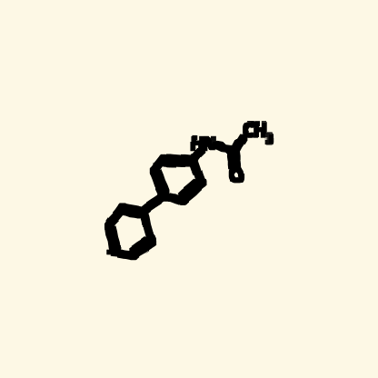 CC(=O)Nc1ccc(-c2cc[c]cc2)cc1